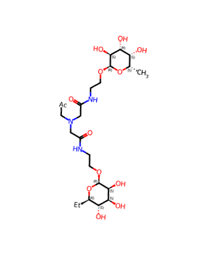 CC[C@H]1O[C@@H](OCCNC(=O)CN(CC(C)=O)CC(=O)NCCO[C@@H]2O[C@@H](C)[C@@H](O)[C@@H](O)[C@@H]2O)[C@@H](O)[C@@H](O)[C@@H]1O